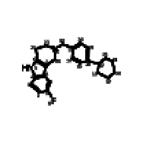 Fc1ccc2[nH]c3c(c2c1)CN(Cc1ccc(C2CCCCC2)cc1)CC3